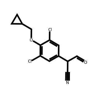 N#CC(C=O)c1cc(Cl)c(OCC2CC2)c(Cl)c1